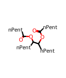 CCCCCC(=O)OC(CCCCC)C(CCCCC)OC(=O)CCCCC